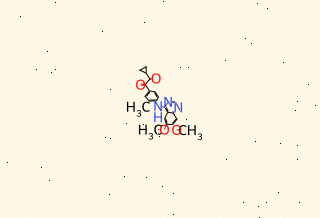 COc1cc2ncnc(Nc3ccc(C(=O)C(=O)C4CC4)cc3C)c2cc1OC